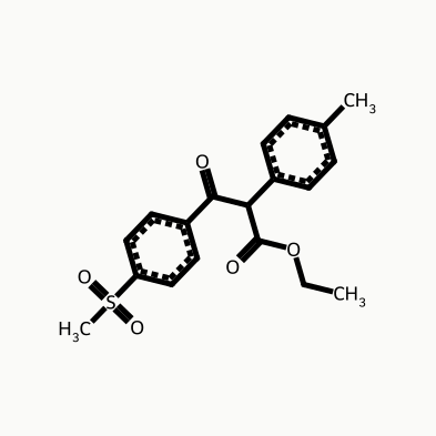 CCOC(=O)C(C(=O)c1ccc(S(C)(=O)=O)cc1)c1ccc(C)cc1